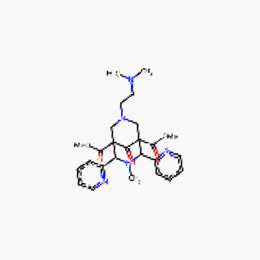 COC(=O)C12CN(CCN(C)C)CC(C(=O)OC)(C1=O)C(c1ccccn1)N(C)C2c1ccccn1